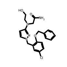 NC(=O)CN(CCO)c1ccn(Cc2cc(Cl)ccc2OCc2ccccc2)n1